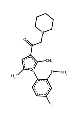 COc1cc(Cl)ccc1-n1c(C)cc(C(=O)CN2CCCCC2)c1C